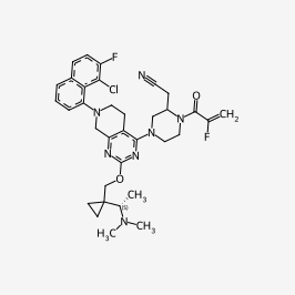 C=C(F)C(=O)N1CCN(c2nc(OCC3([C@H](C)N(C)C)CC3)nc3c2CCN(c2cccc4ccc(F)c(Cl)c24)C3)CC1CC#N